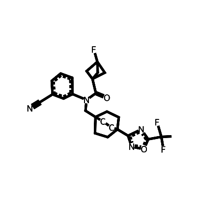 CC(F)(F)c1nc(C23CCC(CN(C(=O)C45CC(F)(C4)C5)c4cccc(C#N)c4)(CC2)CC3)no1